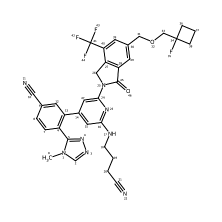 Cn1cnnc1-c1ccc(C#N)cc1-c1cc(NCCCC#N)nc(N2Cc3c(cc(COCC4(F)CCC4)cc3C(F)(F)F)C2=O)c1